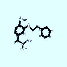 CCCN(CCC)C(C)c1ccc(OC)c(OCCc2ccccc2)c1